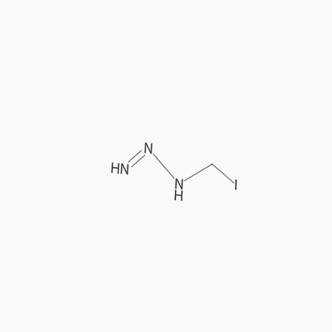 N=NNCI